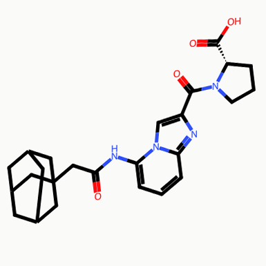 O=C(CC12CC3CC(CC(C3)C1)C2)Nc1cccc2nc(C(=O)N3CCC[C@H]3C(=O)O)cn12